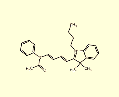 CCCC[N+]1=C(/C=C/C=C/N(C(C)=O)c2ccccc2)C(C)(C)c2ccccc21